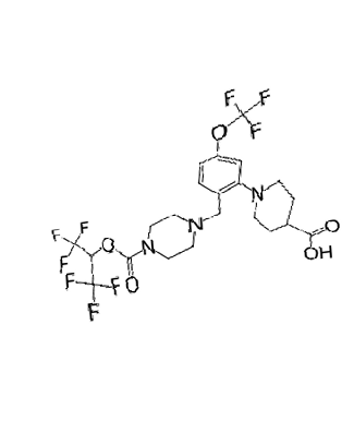 O=C(O)C1CCN(c2cc(OC(F)(F)F)ccc2CN2CCN(C(=O)OC(C(F)(F)F)C(F)(F)F)CC2)CC1